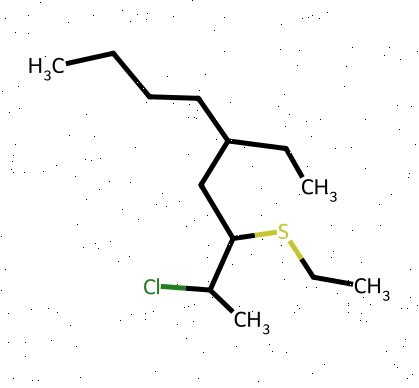 CCCCC(CC)CC(SCC)C(C)Cl